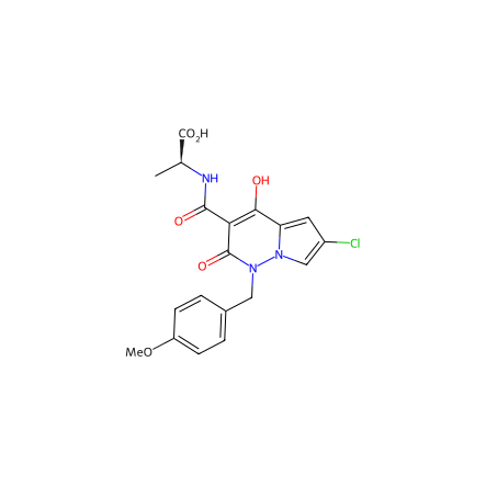 COc1ccc(Cn2c(=O)c(C(=O)N[C@@H](C)C(=O)O)c(O)c3cc(Cl)cn32)cc1